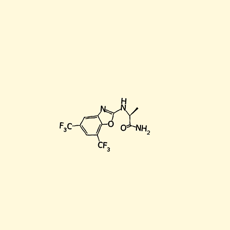 C[C@H](Nc1nc2cc(C(F)(F)F)cc(C(F)(F)F)c2o1)C(N)=O